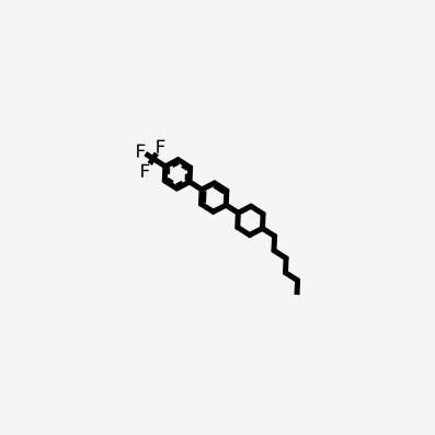 CCCCCCC1CCC(C2C=CC(c3ccc(C(F)(F)F)cc3)=CC2)CC1